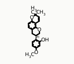 COc1ccc([C@@H]2COc3c(ccc4c3C=CC(C)(C)O4)C2)c(O)c1